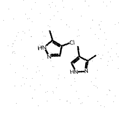 Cc1[nH]ncc1Cl.Cc1c[nH]nc1C